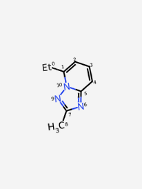 CCc1cccc2nc(C)nn12